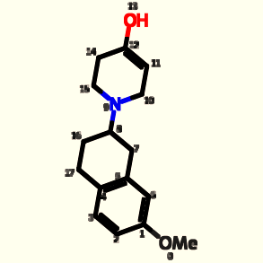 COc1ccc2c(c1)CC(N1CC=C(O)CC1)CC2